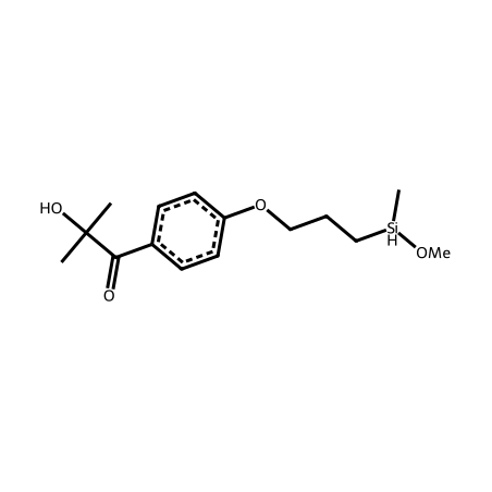 CO[SiH](C)CCCOc1ccc(C(=O)C(C)(C)O)cc1